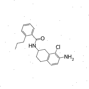 CCCc1ccccc1C(=O)NC1CCc2ccc(N)c(Cl)c2C1